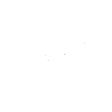 NCCCNCCNCCCN.NCCNCCNCCN